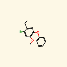 CCc1cc(Oc2ccccc2)c(OC)cc1Br